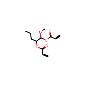 C=CC(=O)OC(CCC)C(OC)OC(=O)C=C